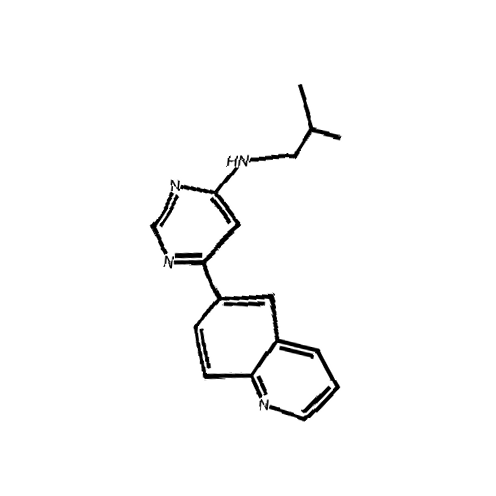 CC(C)CNc1cc(-c2ccc3ncccc3c2)ncn1